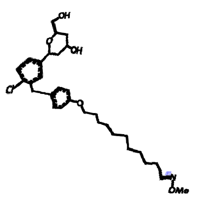 CO/N=C/CCCCCCCCCCOc1ccc(Cc2cc(C3CC(O)CC(CO)O3)ccc2Cl)cc1